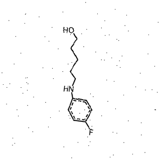 OCCCCCNc1ccc(F)cc1